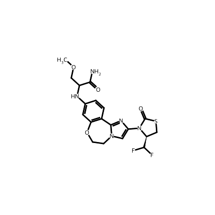 COCC(Nc1ccc2c(c1)OCCn1cc(N3C(=O)SC[C@H]3C(F)F)nc1-2)C(N)=O